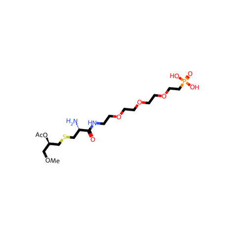 COC[C@H](CSC[C@H](N)C(=O)NCCOCCOCCOCCP(=O)(O)O)OC(C)=O